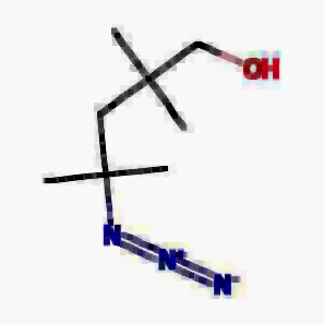 CC(C)(CO)CC(C)(C)N=[N+]=[N-]